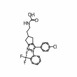 O=C(O)NCCC1Cc2nn(-c3ccccc3C(F)(F)F)c(-c3ccc(Cl)cc3)c2C1